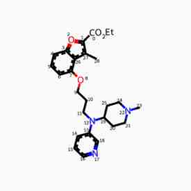 CCOC(=O)c1oc2cccc(OCCCN(c3cccnc3)C3CCN(C)CC3)c2c1C